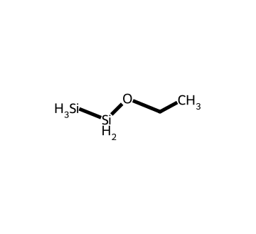 CCO[SiH2][SiH3]